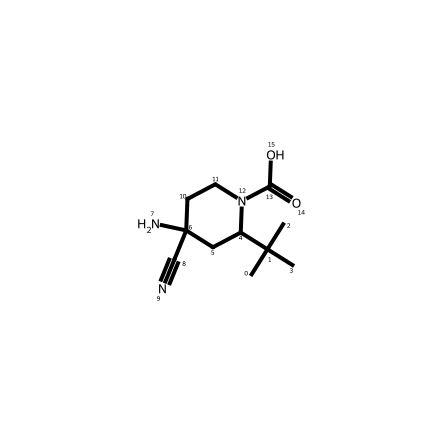 CC(C)(C)C1CC(N)(C#N)CCN1C(=O)O